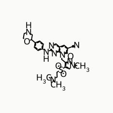 CN(C)CCS(=O)(=O)c1cn(C)nc1Cn1c(=O)c(C#N)cc2cnc(Nc3ccc(C4CNCCO4)cc3)nc21